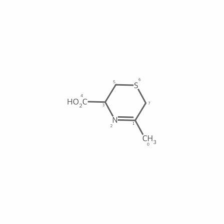 CC1=NC(C(=O)O)CSC1